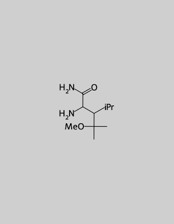 COC(C)(C)C(C(C)C)C(N)C(N)=O